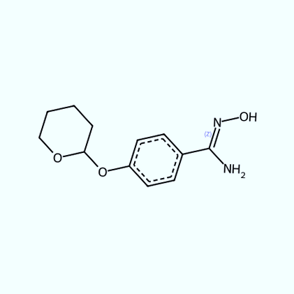 N/C(=N\O)c1ccc(OC2CCCCO2)cc1